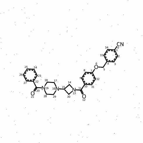 N#Cc1ccc(COc2ccc(C(=O)N3CC(N4CCN(C(=O)c5ccccc5)CC4)C3)cc2)cc1